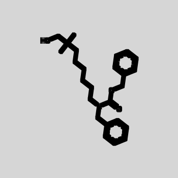 CC(C)(CO)CCCCCCN(Cc1ccccc1)C(=O)OCc1ccccc1